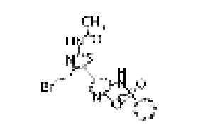 CC(=O)Nc1nc(CCBr)c(-c2cnc(Cl)c(NS(=O)(=O)c3ccccc3)c2)s1